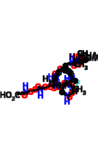 COc1ccc(C[C@H](NC(=O)[C@@H](NC(C)=O)[C@@H](C)O)C(=O)N2CCC[C@@]2(C)C(=O)NCCc2ccc(CN3CCCCCCn4cc(c5cc(F)ccc54)C[C@@H]4NC(=O)[C@H](Cc5cccc(c5)CNC(=O)CO[C@H]5CCN(C4=O)C5C)NC(=O)[C@@H](CNC(=O)COCCOCCNC(=O)COCCOCCNC(=O)CCCC(=O)O)NC(=O)[C@H](C)NC(=O)CCC3=O)cc2)cc1